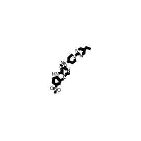 CCc1cnc(N2CCC(n3nnc4c(Nc5ccc(S(C)(=O)=O)cc5F)ncnc43)CC2)nc1